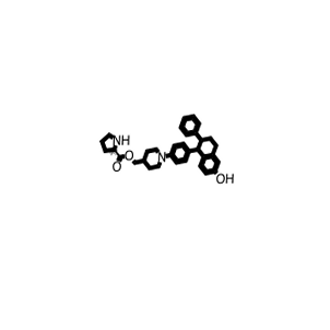 O=C(OCC1CCN(c2ccc(C3c4ccc(O)cc4CCC3c3ccccc3)cc2)CC1)[C@H]1CCCN1